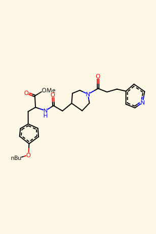 CCCCOc1ccc(CC(NC(=O)CC2CCN(C(=O)CCc3ccncc3)CC2)C(=O)OC)cc1